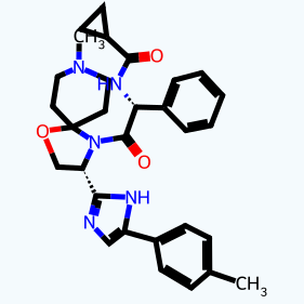 Cc1ccc(-c2cnc([C@@H]3COC4(CCN(C)CC4)N3C(=O)[C@H](NC(=O)C3CC3)c3ccccc3)[nH]2)cc1